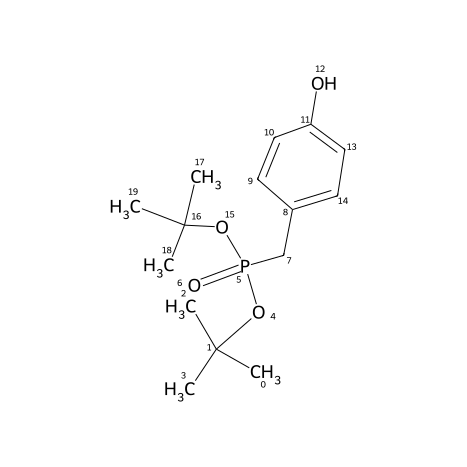 CC(C)(C)OP(=O)(Cc1ccc(O)cc1)OC(C)(C)C